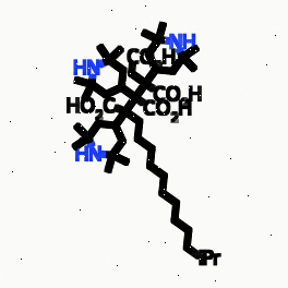 CC(C)CCCCCCCCCCC(C(=O)O)(C1CC(C)(C)NC(C)(C)C1)C(C(=O)O)(C1CC(C)(C)NC(C)(C)C1)C(CC(=O)O)(C(=O)O)C1CC(C)(C)NC(C)(C)C1